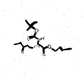 CCCCOC(=O)[C@H](CCC(=O)CC)NC(=O)OC(C)(C)C